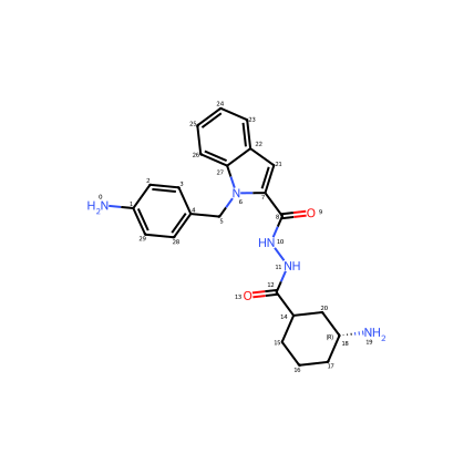 Nc1ccc(Cn2c(C(=O)NNC(=O)C3CCC[C@@H](N)C3)cc3ccccc32)cc1